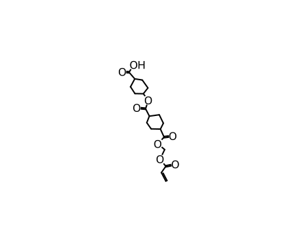 C=CC(=O)OCOC(=O)C1CCC(C(=O)OC2CCC(C(=O)O)CC2)CC1